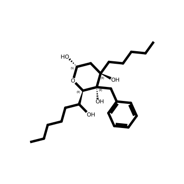 CCCCCC(O)[C@H]1O[C@H](O)C[C@](O)(CCCCC)[C@@]1(O)Cc1ccccc1